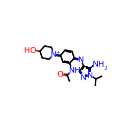 CC(=O)NC1=CC(=[N+]2CCC(O)CC2)C=C/C1=N/c1cnn(C(C)C)c1N